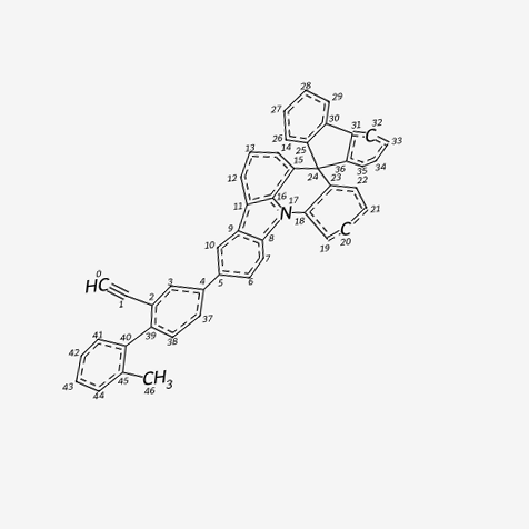 C#Cc1cc(-c2ccc3c(c2)c2cccc4c2n3-c2ccccc2C42c3ccccc3-c3ccccc32)ccc1-c1ccccc1C